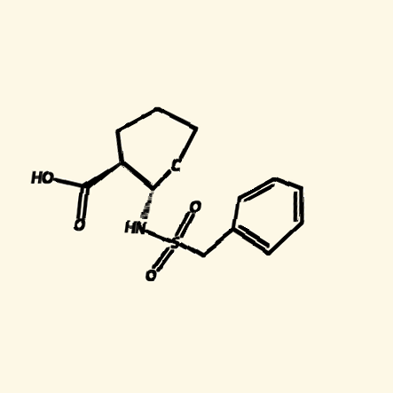 O=C(O)[C@H]1CCCC[C@@H]1NS(=O)(=O)Cc1ccccc1